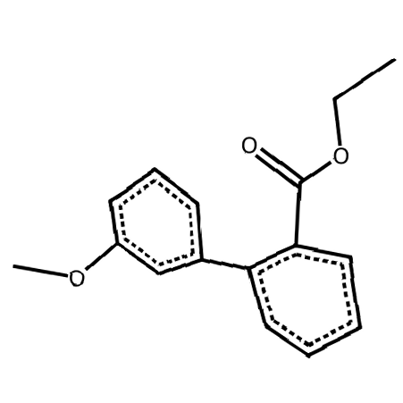 CCOC(=O)c1ccccc1-c1cccc(OC)c1